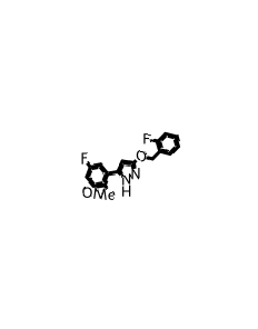 COc1ccc(F)cc1-c1cc(OCc2ccccc2F)n[nH]1